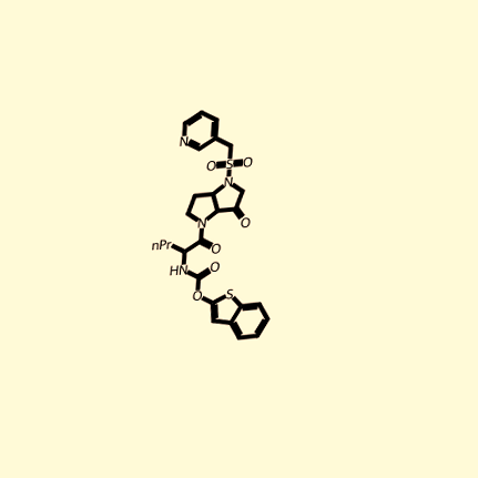 CCCC(NC(=O)Oc1cc2ccccc2s1)C(=O)N1CCC2C1C(=O)CN2S(=O)(=O)Cc1cccnc1